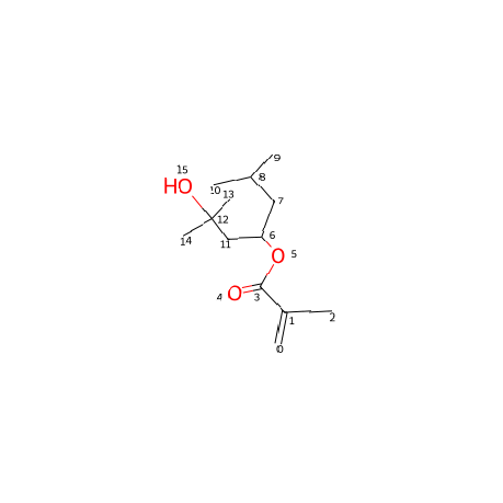 C=C(C)C(=O)OC(CC(C)C)CC(C)(C)O